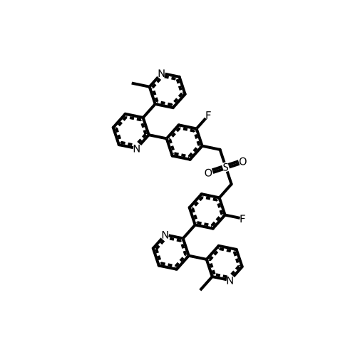 Cc1ncccc1-c1cccnc1-c1ccc(CS(=O)(=O)Cc2ccc(-c3ncccc3-c3cccnc3C)cc2F)c(F)c1